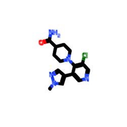 Cn1cc(-c2cncc(Cl)c2N2CCC(C(N)=O)CC2)cn1